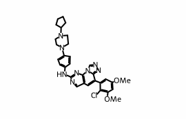 COc1cc(OC)c(Cl)c(-c2cc3cnc(Nc4ccc(N5CCN(C6CCCC6)CC5)cc4)nc3n3cnnc23)c1